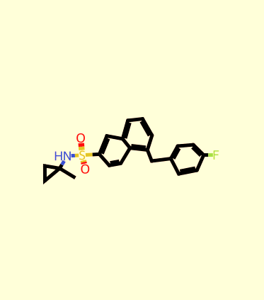 CC1(NS(=O)(=O)c2ccc3c(Cc4ccc(F)cc4)cccc3c2)CC1